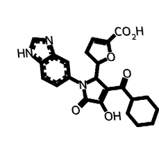 O=C(O)C1=CCC(C2C(C(=O)C3CCCCC3)=C(O)C(=O)N2c2ccc3[nH]cnc3c2)O1